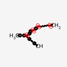 C#Cc1ccc(C#Cc2ccc(C#CC3(OC(=O)c4ccc5cc(OC(=O)C6CCC(C(=O)OCCCCCCCCOC(=O)C=C)CC6)ccc5c4)CCC(C4CCC(C)CC4)CC3)cc2)cc1